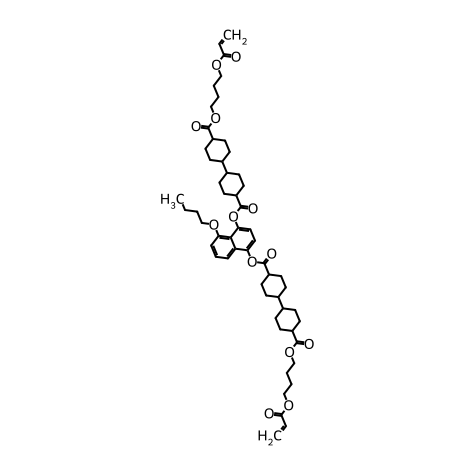 C=CC(=O)OCCCCOC(=O)C1CCC(C2CCC(C(=O)Oc3ccc(OC(=O)C4CCC(C5CCC(C(=O)OCCCCOC(=O)C=C)CC5)CC4)c4c(OCCCC)cccc34)CC2)CC1